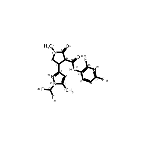 Cc1cc(C2CN(C)C(=O)C2C(=O)Nc2ccc(F)nc2F)nn1C(F)F